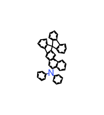 c1ccc(N(c2ccccc2)c2cc3cc4c(cc3c3ccccc23)C2(c3ccccc3-c3ccccc32)c2ccccc2-4)cc1